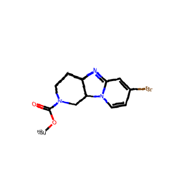 CC(C)(C)OC(=O)N1CCC2N=C3C=C(Br)C=CN3C2C1